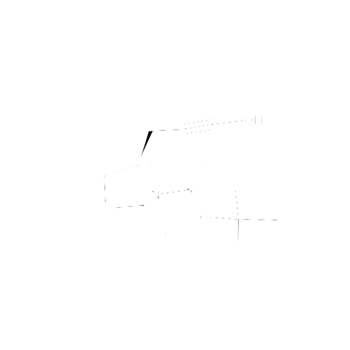 C[C@H]1OC(C)(C)N(C(=O)OC(C)(C)C)[C@@H]1CC#CO